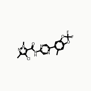 Cc1cc2c(cc1-c1cnc(NC(=O)c3c(Cl)c(C)nn3C)cn1)OC(F)(F)O2